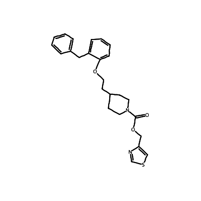 O=C(OCc1cscn1)N1CCC(CCOc2ccccc2Cc2ccccc2)CC1